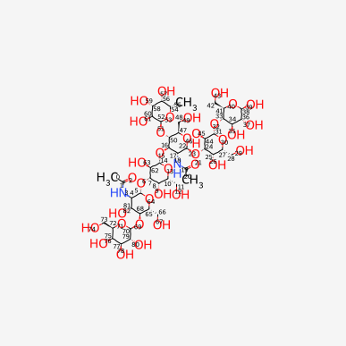 CC(=O)N[C@H]1[C@H](O[C@H]2[C@@H](O)[C@@H](CO)O[C@@H](O[C@@H]3[C@@H](NC(C)=O)[C@H](O[C@H]4[C@@H](O)[C@@H](CO)O[C@@H](O[C@H]5[C@H](O)[C@@H](O)[C@H](O)O[C@@H]5CO)[C@@H]4O)O[C@H](CO)[C@H]3O[C@@H]3O[C@@H](C)[C@@H](O)[C@@H](O)[C@@H]3O)[C@@H]2O)O[C@H](CO)[C@@H](O[C@@H]2O[C@H](CO)[C@H](O)[C@H](O)[C@H]2O)[C@@H]1O